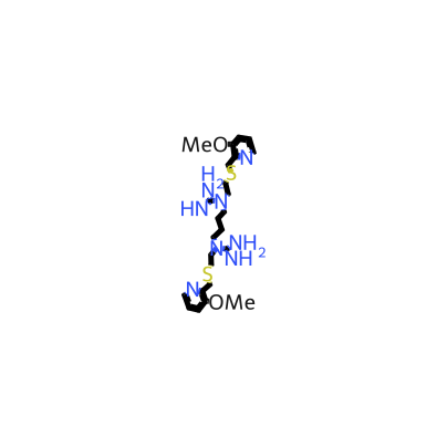 COc1cccnc1CSCCN(CCCCN(CCSCc1ncccc1OC)C(=N)N)C(=N)N